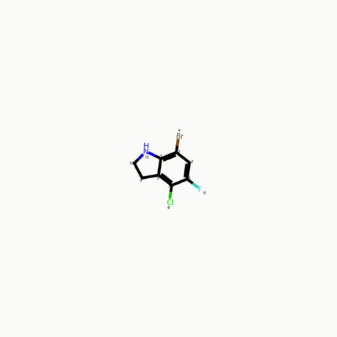 Fc1cc(Br)c2c(c1Cl)CCN2